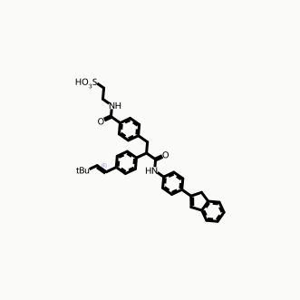 CC(C)(C)/C=C/c1ccc(C(Cc2ccc(C(=O)NCCS(=O)(=O)O)cc2)C(=O)Nc2ccc(C3=Cc4ccccc4C3)cc2)cc1